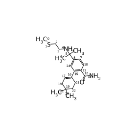 CSCCNC(C)(C)c1ccc(C(N)=O)c(C2=CCC(C)(C)CC2)c1